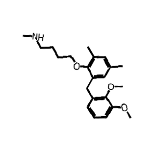 CNCCCCOc1c(C)cc(C)cc1Cc1cccc(OC)c1OC